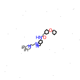 CC(C)CN(CCCn1ncc2ccc(NC(=O)Cc3ccc(Oc4ccccc4)cc3)cc21)CC(C)C